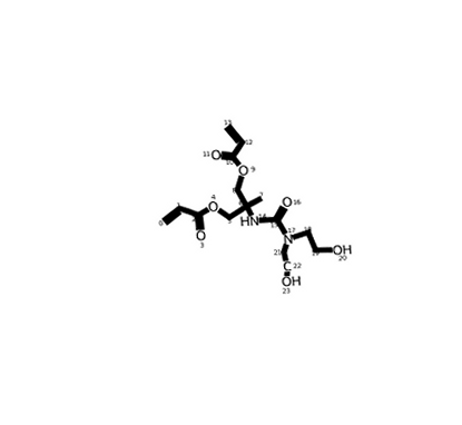 C=CC(=O)OCC(C)(COC(=O)C=C)NC(=O)N(CCO)CCO